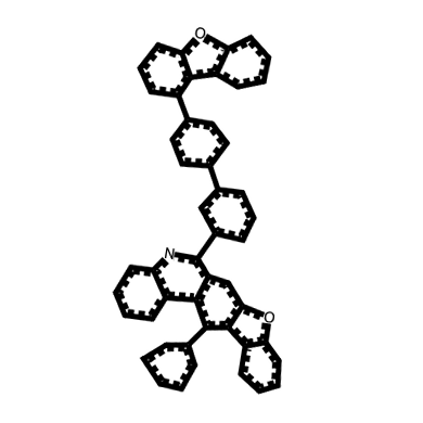 c1ccc(-c2c3c(cc4c(-c5cccc(-c6ccc(-c7cccc8oc9ccccc9c78)cc6)c5)nc5ccccc5c24)oc2ccccc23)cc1